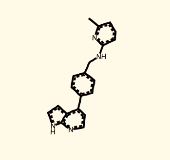 Cc1cccc(NCc2ccc(-c3ccnc4[nH]ccc34)cc2)n1